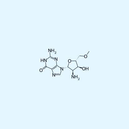 COC[C@H]1O[C@@H](n2cnc3c(=O)[nH]c(N)nc32)[C@H](N)[C@@H]1O